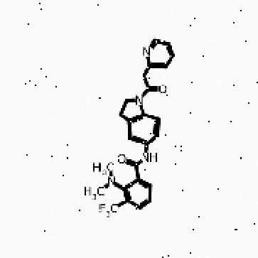 CN(C)c1c(C(=O)Nc2ccc3c(c2)CCN3C(=O)Cc2ccccn2)cccc1C(F)(F)F